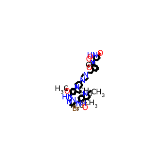 CCc1ccc2c(P(C)(C)=O)c(Nc3nc(Nc4cc(CC)c(N5CCC(N6CCN(CCc7cccc(N(C=O)C8CCC(=O)NC8=O)c7OC)CC6)CC5)cc4OC)ncc3Br)ccc2n1